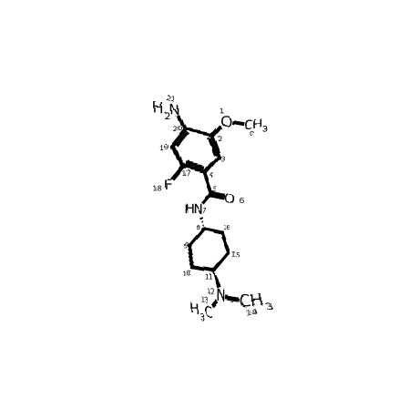 COc1cc(C(=O)N[C@H]2CC[C@H](N(C)C)CC2)c(F)cc1N